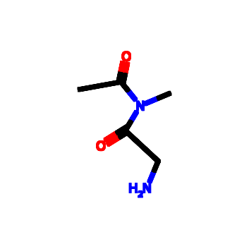 CC(=O)N(C)C(=O)CN